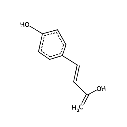 C=C(O)/C=C/c1ccc(O)cc1